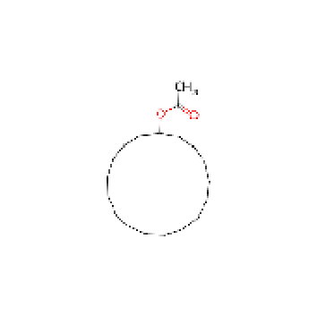 CC(=O)OC1CCCCCCCCCCCCCCCC1